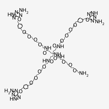 NCCOCCOCCOCCNC(=O)NC(CCC(=O)NCCOCCOCCOCCOCc1ccc(COc2nc(N)nc3[nH]cnc23)cc1)(CCC(=O)NCCOCCOCCOCCOCc1ccc(COc2nc(N)nc3[nH]cnc23)cc1)CCC(=O)NCCOCCOCCOCCOCc1ccc(COc2nc(N)nc3[nH]cnc23)cc1